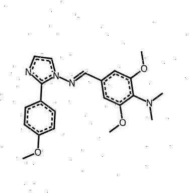 COc1ccc(-c2nccn2/N=C/c2cc(OC)c(N(C)C)c(OC)c2)cc1